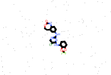 CN1C(=O)OCCc2cc(Nc3ncc(Cl)c(Nc4cccc5c4OC(F)(F)O5)n3)ccc21